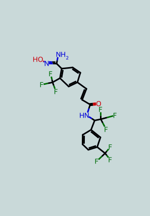 NC(=NO)c1ccc(C=CC(=O)NC(c2cccc(C(F)(F)F)c2)C(F)(F)F)cc1C(F)(F)F